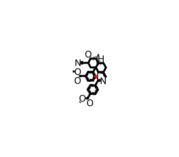 COC(=O)c1ccc(-c2ncc3c(n2)C2(c4cccc(C(=O)OC)c4)CC(C#N)C(=O)[C@@H](C)[C@@H]2CC3)cc1